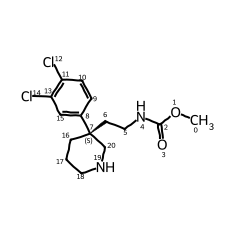 COC(=O)NCC[C@]1(c2ccc(Cl)c(Cl)c2)CCCNC1